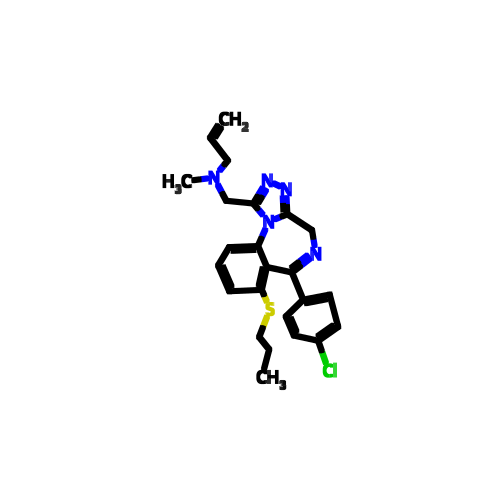 C=CCN(C)Cc1nnc2n1-c1cccc(SCCC)c1C(c1ccc(Cl)cc1)=NC2